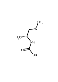 CSC[C@@H](C)NC(=O)O